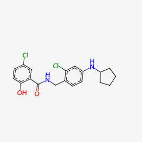 O=C(NCc1ccc(NC2CCCC2)cc1Cl)c1cc(Cl)ccc1O